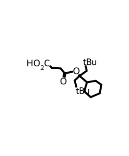 CC(C)(C)CC(CC(C)(C)C)(OC(=O)CCC(=O)O)C1CCCCC1